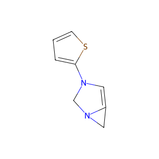 C1=C2CN2CN1c1cccs1